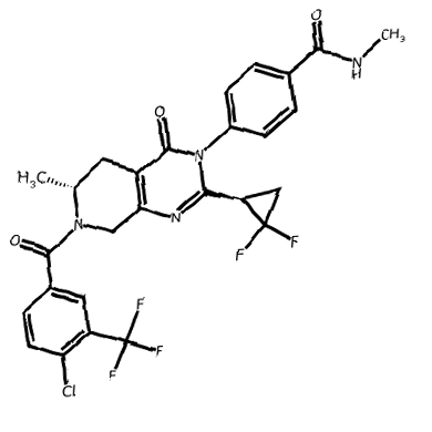 CNC(=O)c1ccc(-n2c([C@H]3CC3(F)F)nc3c(c2=O)C[C@@H](C)N(C(=O)c2ccc(Cl)c(C(F)(F)F)c2)C3)cc1